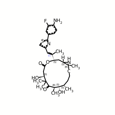 C/C(=C\c1csc(-c2ccc(N)c(F)c2)n1)[C@@H]1C[C@@H]2N[C@]2(C)CCC[C@H](C)[C@H](O)[C@@H](C)C(=O)C(C)(C)[C@@H](O)CC(=O)O1